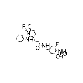 CS(=O)(=O)Nc1ccc(CNC(=O)/C=C/c2ccc(C(F)(F)F)nc2Nc2ccccc2)cc1F